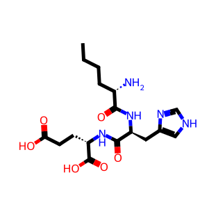 CCCC[C@H](N)C(=O)N[C@@H](Cc1c[nH]cn1)C(=O)N[C@@H](CCC(=O)O)C(=O)O